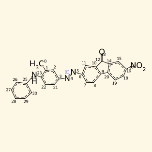 Cc1cc(/N=N/c2ccc3c(c2)C(=O)c2cc([N+](=O)[O-])ccc2-3)ccc1Nc1ccccc1